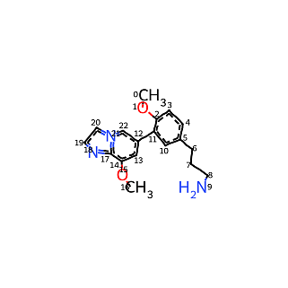 COc1ccc(CCCN)cc1-c1cc(OC)c2nccn2c1